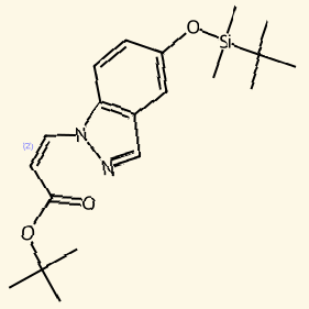 CC(C)(C)OC(=O)/C=C\n1ncc2cc(O[Si](C)(C)C(C)(C)C)ccc21